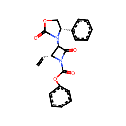 C=C[C@@H]1[C@@H](N2C(=O)OC[C@@H]2c2ccccc2)C(=O)N1C(=O)Oc1ccccc1